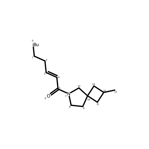 CCC(C)CC/C=C/C(=O)N1CCC2(CC(C)C2)C1